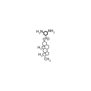 CCC1CCC2C3CCC4CC(OC(=O)c5cc(N)cc(N)c5)CCC4(C)C3CCC12C